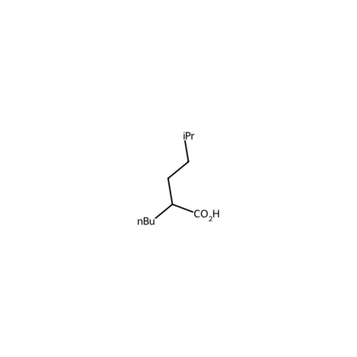 CCCCC(CCC(C)C)C(=O)O